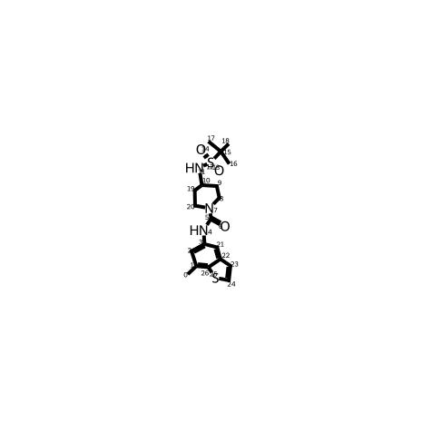 Cc1cc(NC(=O)N2CCC(NS(=O)(=O)C(C)(C)C)CC2)cc2ccsc12